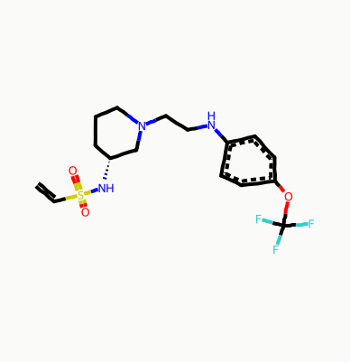 C=CS(=O)(=O)N[C@@H]1CCCN(CCNc2ccc(OC(F)(F)F)cc2)C1